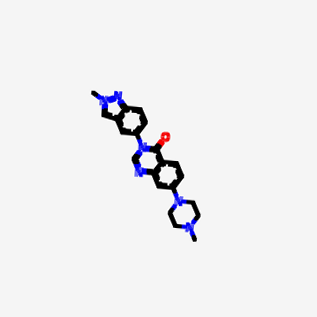 CN1CCN(c2ccc3c(=O)n(-c4ccc5nn(C)cc5c4)cnc3c2)CC1